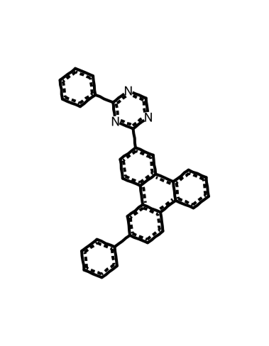 c1ccc(-c2ccc3c4ccccc4c4cc(-c5ncnc(-c6ccccc6)n5)ccc4c3c2)cc1